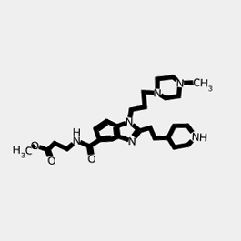 COC(=O)CCNC(=O)c1ccc2c(c1)nc(CCC1CCNCC1)n2CCCN1CCN(C)CC1